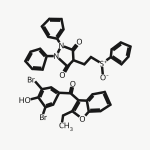 CCc1oc2ccccc2c1C(=O)c1cc(Br)c(O)c(Br)c1.O=C1C(CC[S+]([O-])c2ccccc2)C(=O)N(c2ccccc2)N1c1ccccc1